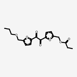 CCCOCc1ccc(C(=O)C(=O)c2ccc(COC(=O)CC)o2)o1